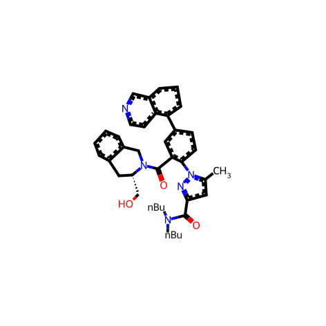 CCCCN(CCCC)C(=O)c1cc(C)n(-c2ccc(-c3cccc4cnccc34)cc2C(=O)N2Cc3ccccc3C[C@H]2CO)n1